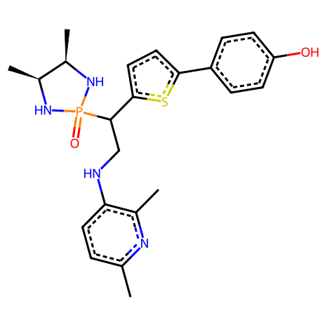 Cc1ccc(NCC(c2ccc(-c3ccc(O)cc3)s2)P2(=O)N[C@@H](C)[C@@H](C)N2)c(C)n1